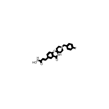 O=C(/C=C/c1ccc2c(c1)C(=O)NC1(CCN(Cc3ccc(F)cc3)CC1)O2)NO